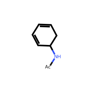 CC(=O)NC1C=CC=CC1